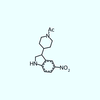 CC(=O)N1CCC(C2CNc3ccc([N+](=O)[O-])cc32)CC1